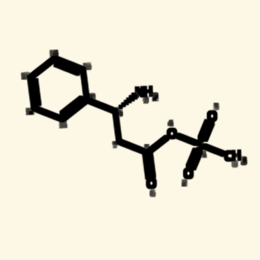 CS(=O)(=O)OC(=O)C[C@@H](N)c1ccccc1